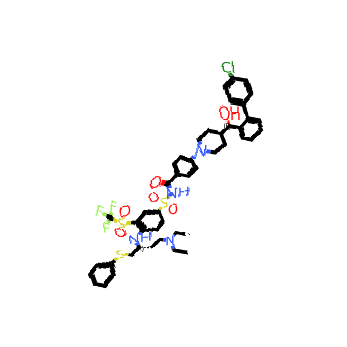 [CH2]CN(CC)CC[C@H](CSc1ccccc1)Nc1ccc(S(=O)(=O)NC(=O)c2ccc(N3CCC([C@@H](O)c4ccccc4-c4ccc(Cl)cc4)CC3)cc2)cc1S(=O)(=O)C(F)(F)F